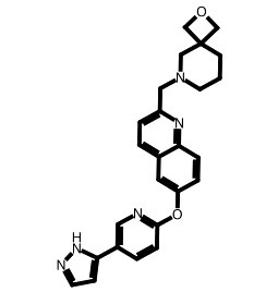 c1cc(-c2ccc(Oc3ccc4nc(CN5CCCC6(COC6)C5)ccc4c3)nc2)[nH]n1